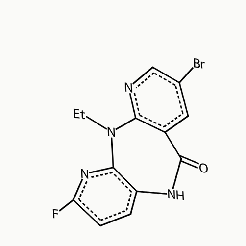 CCN1c2nc(F)ccc2NC(=O)c2cc(Br)cnc21